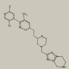 Cc1cc(CCC2CN(Cc3cn4c(n3)CNCC4)CCO2)cnc1-c1cc(Cl)ncc1Cl